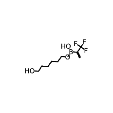 C=C(B(O)OCCCCCCO)C(F)(F)F